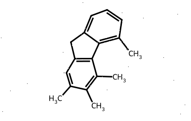 Cc1[c]c2c(c(C)c1C)-c1c(C)cccc1C2